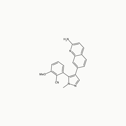 COc1cccc(-c2c(-c3ccc4ccc(N)nc4c3)cnn2C)c1C#N